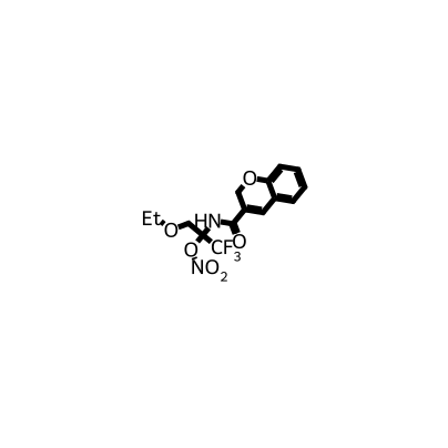 CCOCC(NC(=O)C1=Cc2ccccc2OC1)(O[N+](=O)[O-])C(F)(F)F